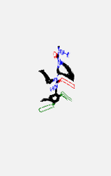 CNC(=O)N1CCC[C@@H](N(C(=O)NCc2cc(C)c(Cl)cc2F)C2CC2)C1